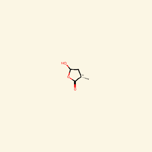 C[C@H]1CC(O)OC1=O